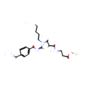 CCCCCCCCCCCCCCN1C(=NC(=O)c2ccc(C(N)=S)cc2)SC(C(=O)NCCC(=O)OC(C)(C)C)C1C